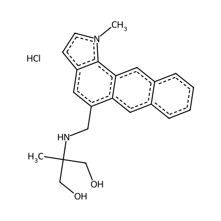 Cl.Cn1ccc2cc(CNC(C)(CO)CO)c3cc4ccccc4cc3c21